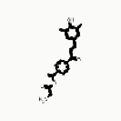 Cc1cc(C=CC(=O)c2ccc(C(=O)OC(=O)CN)cc2)cc(C)c1O